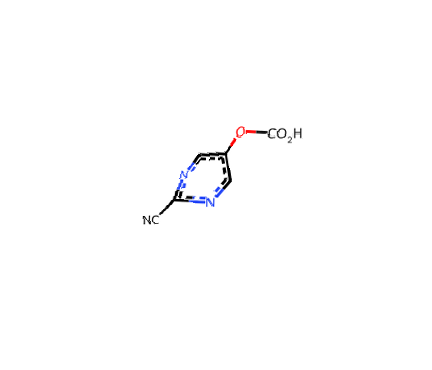 N#Cc1ncc(OC(=O)O)cn1